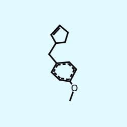 COc1ccc(CC2C=CCC2)cc1